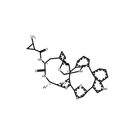 CC1CC1C(=O)N[C@H]1Cc2ccc3c(c2)[C@]24c5cccc(c5NC2O3)-c2cccc3[nH]cc(c23)-c2cnc(o2)-c2nc(oc24)[C@H](C(C)C)NC1=O